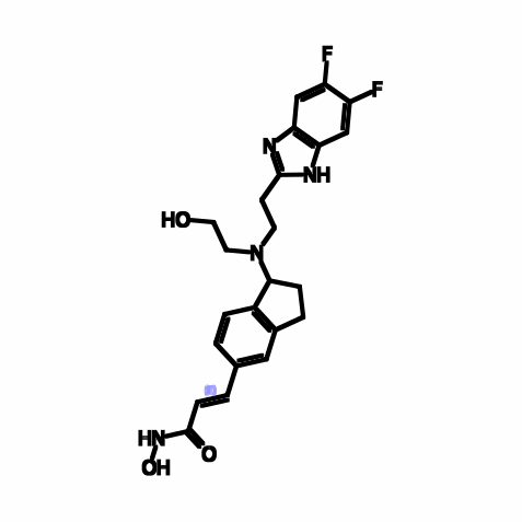 O=C(/C=C/c1ccc2c(c1)CCC2N(CCO)CCc1nc2cc(F)c(F)cc2[nH]1)NO